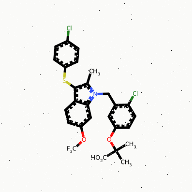 Cc1c(Sc2ccc(Cl)cc2)c2ccc(OC(F)(F)F)cc2n1Cc1cc(OC(C)(C)C(=O)O)ccc1Cl